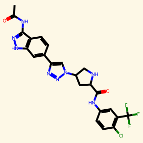 CC(=O)Nc1n[nH]c2cc(-c3cn(C4CNC(C(=O)Nc5ccc(Cl)c(C(F)(F)F)c5)C4)nn3)ccc12